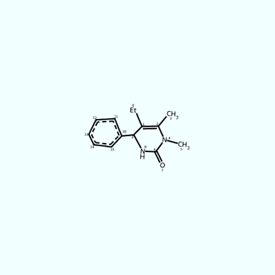 [CH2]CC1=C(C)N(C)C(=O)NC1c1ccccc1